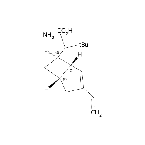 C=CC1=C[C@@H]2[C@H](C1)C[C@@]2(CN)C(C(=O)O)C(C)(C)C